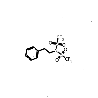 O=S(=O)(N(CCc1ccccc1)S(=O)(=O)C(F)(F)F)C(F)(F)F